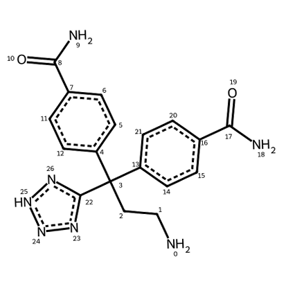 NCCC(c1ccc(C(N)=O)cc1)(c1ccc(C(N)=O)cc1)c1nn[nH]n1